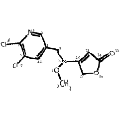 CON(Cc1cnc(Cl)c(Cl)c1)C1=CC(=O)OC1